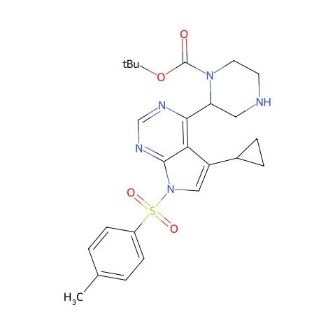 Cc1ccc(S(=O)(=O)n2cc(C3CC3)c3c(C4CNCCN4C(=O)OC(C)(C)C)ncnc32)cc1